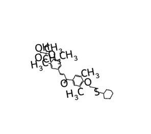 Cc1cc(C(=O)C=Cc2cc(C)c(OC(C)(C)C(=O)O)c(C)c2)cc(C)c1OCCSC1CCCCC1